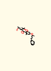 CC(=O)CCC1C(=O)c2c(C)cc(OC(C)CCCc3ccccc3)cc2OC1(C)C